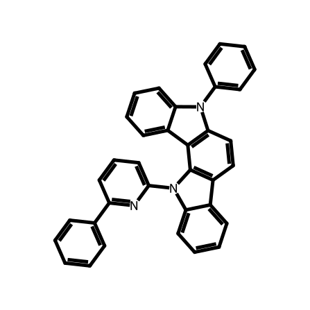 c1ccc(-c2cccc(-n3c4ccccc4c4ccc5c(c6ccccc6n5-c5ccccc5)c43)n2)cc1